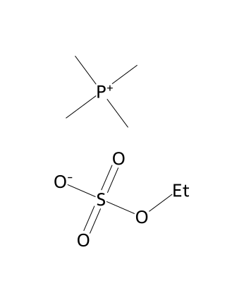 CCOS(=O)(=O)[O-].C[P+](C)(C)C